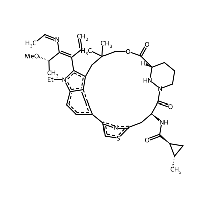 C=C/C(=C(\N=C/C)[C@H](C)OC)c1c2c3cc(ccc3n1CC)-c1csc(n1)C[C@H](NC(=O)[C@H]1C[C@@H]1C)C(=O)N1CCC[C@H](N1)C(=O)OCC(C)(C)C2